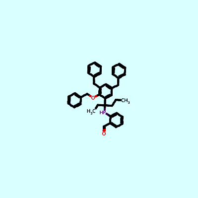 CCCC(CC)(Pc1ccccc1C=O)c1cc(Cc2ccccc2)cc(Cc2ccccc2)c1OCc1ccccc1